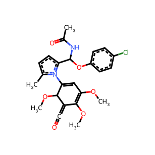 COC1=C(OC)C(=C=O)C(OC)C(n2c(C)ccc2C(NC(C)=O)Oc2ccc(Cl)cc2)=C1